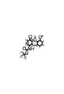 COc1cccc(Cc2cc(Cl)cnc2NC(=O)OC(C)(C)C)c1OC